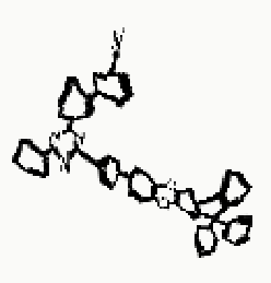 N#Cc1cccc(-c2cccc(-c3nc(-c4ccccc4)nc(-c4ccc(-c5ccc6c(c5)Oc5cc7c(cc5O6)C(c5ccccc5)(c5ccccc5)c5ccccc5-7)cc4)n3)c2)c1